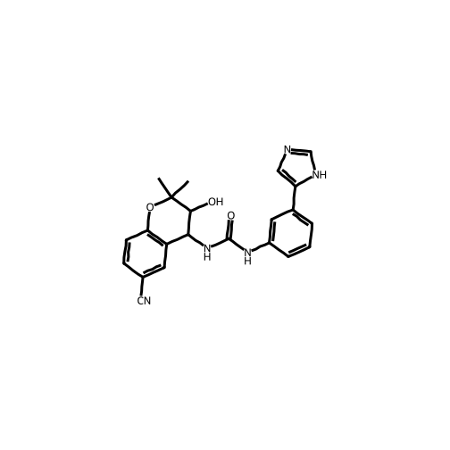 CC1(C)Oc2ccc(C#N)cc2C(NC(=O)Nc2cccc(-c3cnc[nH]3)c2)C1O